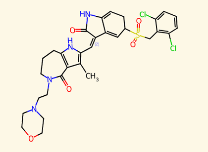 Cc1c(/C=C2\C(=O)NC3=CCC(S(=O)(=O)Cc4c(Cl)cccc4Cl)C=C32)[nH]c2c1C(=O)N(CCN1CCOCC1)CCC2